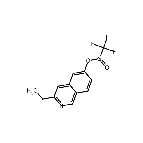 CCc1cc2cc(OS(=O)C(F)(F)F)ccc2cn1